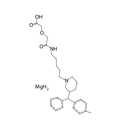 Cc1ccc(C(c2ccccc2)C2CCCN(CCCCCNC(=O)COCC(=O)O)C2)cc1.[MgH2]